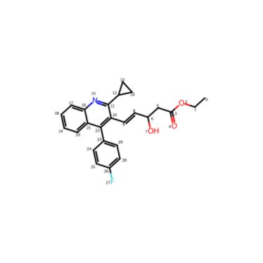 CCOC(=O)CC(O)C=Cc1c(C2CC2)nc2ccccc2c1-c1ccc(F)cc1